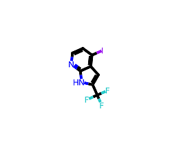 FC(F)(F)c1cc2c(I)ccnc2[nH]1